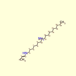 C/C=C/NCCCCCCCCCCCCCCCCCC.N